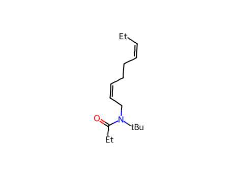 CC/C=C\CC/C=C\CN(C(=O)CC)C(C)(C)C